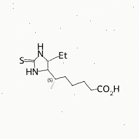 CCC1NC(=S)NC1[C@@H](C)CCCCC(=O)O